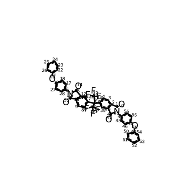 O=C1c2ccc(C(c3ccc4c(c3)C(=O)N(c3ccc(Oc5ccccc5)cc3)C4=O)(C(F)(F)F)C(F)(F)F)cc2C(=O)N1c1ccc(Oc2ccccc2)cc1